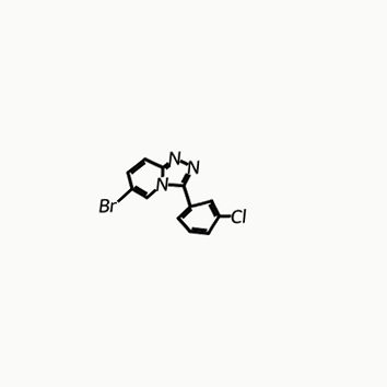 Clc1cccc(-c2nnc3ccc(Br)cn23)c1